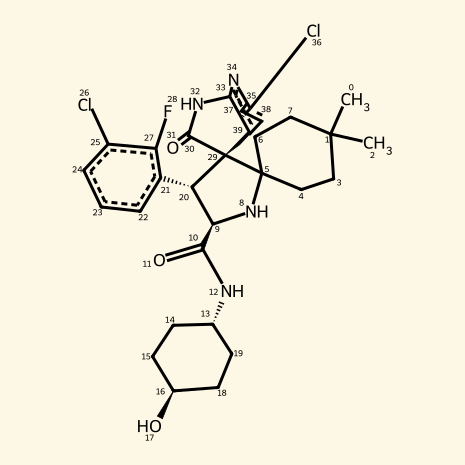 CC1(C)CCC2(CC1)N[C@@H](C(=O)N[C@H]1CC[C@H](O)CC1)[C@H](c1cccc(Cl)c1F)[C@]21C(=O)Nc2nc(Cl)ccc21